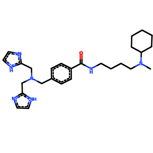 CN(CCCCNC(=O)c1ccc(CN(Cc2ncc[nH]2)Cc2ncc[nH]2)cc1)C1CCCCC1